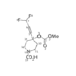 COC(=O)OC1(C#CC(F)F)CCN(C(=O)O)CC1